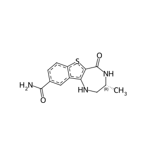 C[C@@H]1CNc2c(sc3ccc(C(N)=O)cc23)C(=O)N1